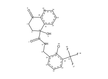 O=C1CCC(O)(C(=O)NCc2cccc(C(F)(F)F)c2Cl)c2cccnc21